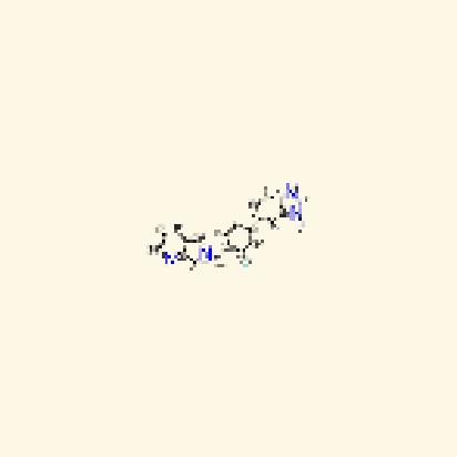 Cn1cnc2ccc(-c3ccc(CN4Cc5cccnc5C4)c(F)c3)cc21